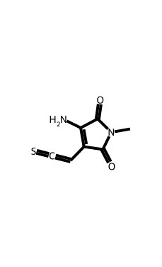 CN1C(=O)C(N)=C(C=C=S)C1=O